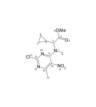 COC(=O)C(C1CC1)N(C)c1nc(Cl)nc(C)c1[N+](=O)[O-]